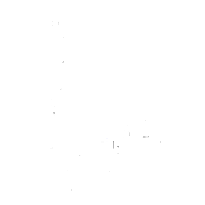 COCC/C=C/COc1ccc(-c2ccccc2/C=N/OC(C)(C)C)cc1